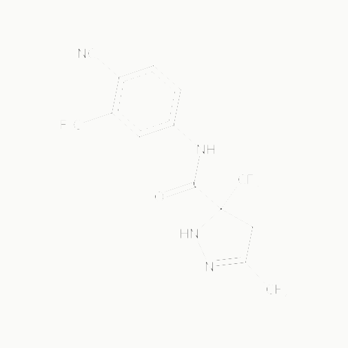 N#Cc1ccc(NC(=O)C2(C(F)(F)F)CC(C(F)(F)F)=NN2)cc1C(F)(F)F